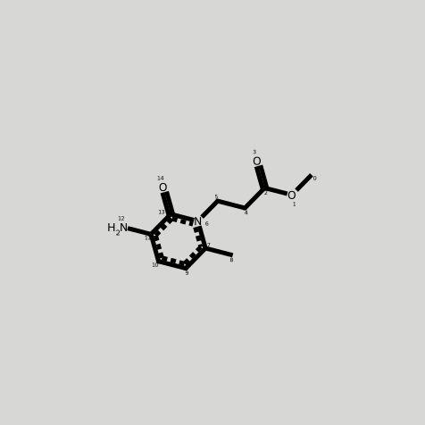 COC(=O)CCn1c(C)ccc(N)c1=O